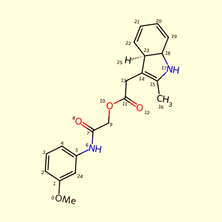 COc1cccc(NC(=O)COC(=O)CC2=C(C)NC3C=CC=C[C@H]23)c1